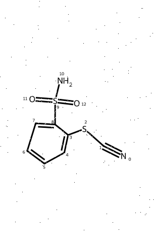 N#CSc1ccccc1S(N)(=O)=O